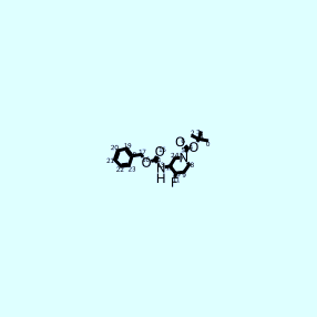 CC(C)(C)OC(=O)N1CCC(F)C(NC(=O)OCc2ccccc2)C1